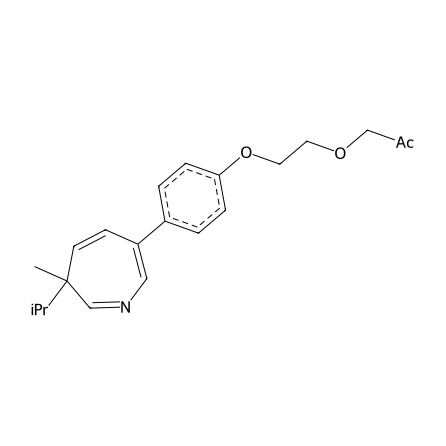 CC(=O)COCCOc1ccc(C2=CN=CC(C)(C(C)C)C=C2)cc1